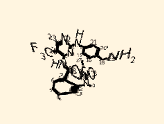 CN(c1ccccc1CNc1nc(Nc2ccc(CN)cc2)ncc1C(F)(F)F)S(C)(=O)=O